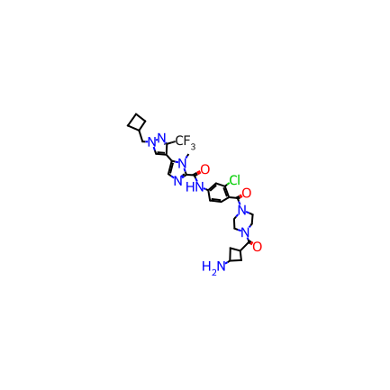 Cn1c(-c2cn(CC3CCC3)nc2C(F)(F)F)cnc1C(=O)Nc1ccc(C(=O)N2CCN(C(=O)C3CC(N)C3)CC2)c(Cl)c1